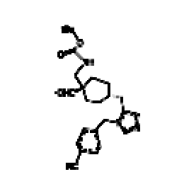 CC(C)(C)OC(=O)NC[C@]1([C]=O)CC[C@H](Cc2cncn2Cc2ccc(C#N)cc2)CC1